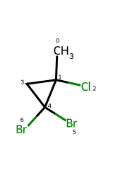 CC1(Cl)CC1(Br)Br